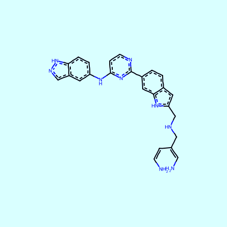 N/C=C\C(=C/N)CNCc1cc2ccc(-c3nccc(Nc4ccc5[nH]ncc5c4)n3)cc2[nH]1